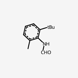 Cc1cccc(C(C)(C)C)c1NC=O